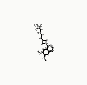 COc1cc2ncnc(N3CC(CCNCS(N)(=O)=O)C3)c2cc1OC